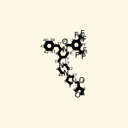 O=C(c1ccoc1)N1CCC(N2CCN(CC3CCN(C(=O)c4cc(C(F)(F)F)cc(C(F)(F)F)c4)C(Cc4ccccc4)C3)CC2)C1